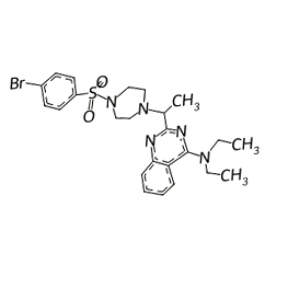 CCN(CC)c1nc(C(C)N2CCN(S(=O)(=O)c3ccc(Br)cc3)CC2)nc2ccccc12